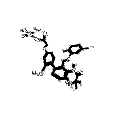 CCC(COc1ccc(-c2ccc3c(c2COc2cc(F)ccc2C)N(C)C(=O)C(C)(C)N3)c(OC)c1)OP(=O)(O)O